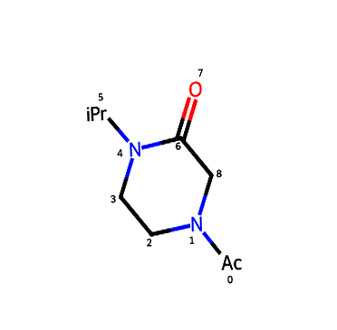 CC(=O)N1CCN(C(C)C)C(=O)C1